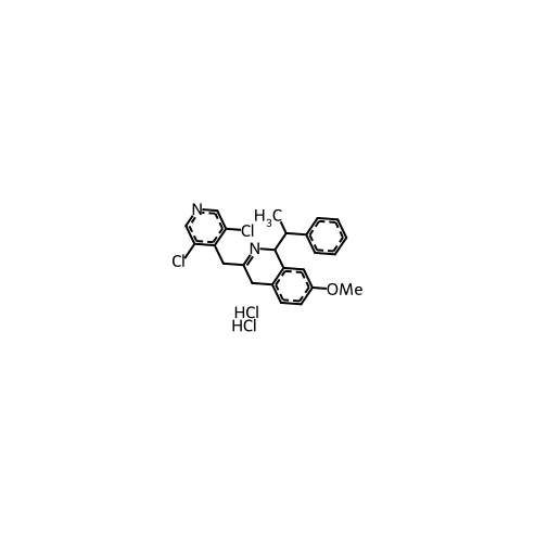 COc1ccc2c(c1)C(C(C)c1ccccc1)N=C(Cc1c(Cl)cncc1Cl)C2.Cl.Cl